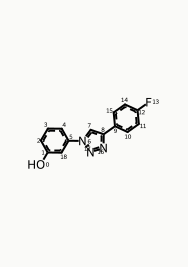 Oc1cccc(-n2cc(-c3ccc(F)cc3)nn2)c1